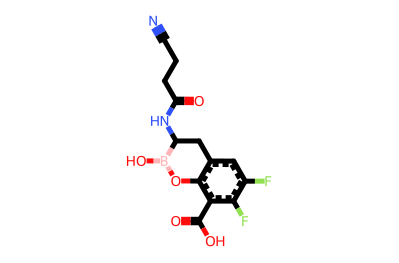 N#CCCC(=O)NC1Cc2cc(F)c(F)c(C(=O)O)c2OB1O